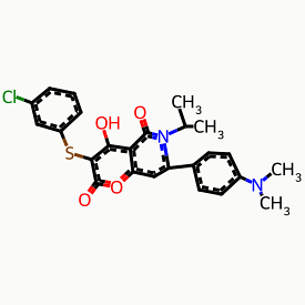 CC(C)n1c(-c2ccc(N(C)C)cc2)cc2oc(=O)c(Sc3cccc(Cl)c3)c(O)c2c1=O